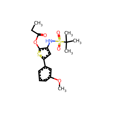 CCC(=O)Oc1sc(-c2cccc(OC)c2)cc1NS(=O)(=O)C(C)(C)C